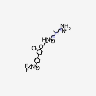 C=N\C(N)=C/C=C(C)/C=C/C(=O)NCCCOc1ccc(-c2ccc(C(=O)N3CC(F)(F)C3)cc2)cc1Cl